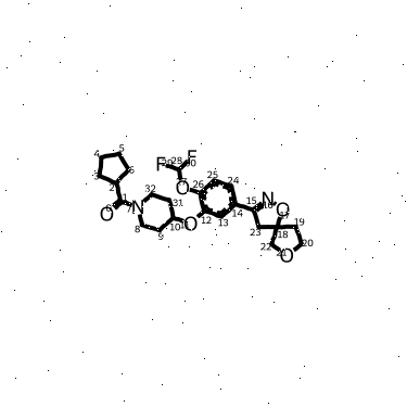 O=C(C1CCCC1)N1CCC(Oc2cc(C3=NOC4(CCOC4)C3)ccc2OC(F)F)CC1